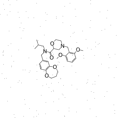 COc1cccc(OC)c1CN1CCOC(C(=O)N(Cc2ccc3c(c2)OCCCO3)CC(C)C)C1